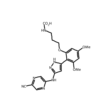 COc1cc(OC)c(-c2cc(Nc3cnc(C#N)cn3)n[nH]2)c(OCCCNC(=O)O)c1